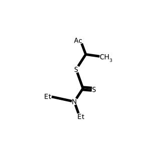 CCN(CC)C(=S)SC(C)C(C)=O